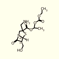 CCOC(=O)OC(C)OC(=O)C1(CN)CN2C(=O)[C@H](CO)[C@H]2S1